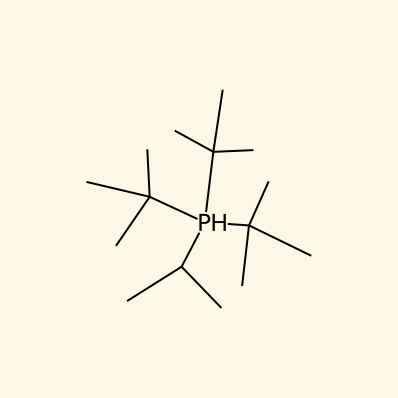 CC(C)[PH](C(C)(C)C)(C(C)(C)C)C(C)(C)C